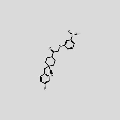 N#CC1(Cc2ccc(F)cc2)CCN(C(=O)COc2cccc([N+](=O)[O-])c2)CC1